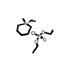 CCOP(=O)([O-])OCC.CC[N+]1(C)CCCCC1